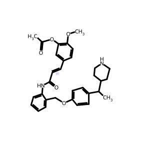 COc1ccc(/C=C/C(=O)Nc2ccccc2COc2ccc(C(C)C3CCNCC3)cc2)cc1OC(C)=O